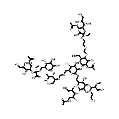 CC[C@@](OCCOCO[C@@H]1C(CO)O[C@@H](OC2C(O)[C@H](O)C(COCOC(CO)[C@@H](O[C@@H]3OC(CO[C@](CC)(OC(CNC(C)=O)[C@H](O)[C@H](O)CO)C(=O)O)[C@H](O)C(O)C3O)C(C)O)O[C@@H]2OCC2O[C@@H](O[C@H](C(O)CO)C(O)CNC(C)=O)C(O)C(O[C@@H](OCCO)C(CO)OC)[C@@H]2O)C(NC(C)=O)C1O)(OC(CNC(C)=O)[C@H](O)[C@H](O)CO)C(=O)O